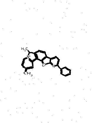 Cc1cc[n+]2c(c1)-c1c(ccc3c1oc1nc(-c4ccccc4)ccc13)C2C